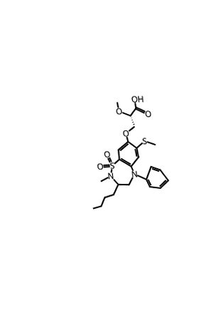 CCCCC1CN(c2ccccc2)c2cc(SC)c(OC[C@H](OC)C(=O)O)cc2S(=O)(=O)N1C